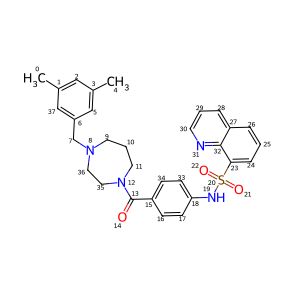 Cc1cc(C)cc(CN2CCCN(C(=O)c3ccc(NS(=O)(=O)c4cccc5cccnc45)cc3)CC2)c1